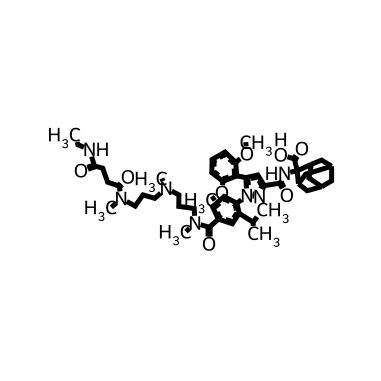 CCNC(=O)CCC(=O)N(C)CCCN(C)CCCN(C)C(=O)c1ccc(-n2nc(C(=O)NC3(C(=O)O)C4CC5CC(C4)CC3C5)cc2-c2c(OC)cccc2OC)c(C(C)C)c1